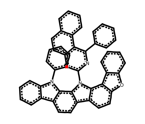 c1ccc(-c2nc(-n3c4c(ccc5oc6ccccc6c54)c4ccc5c6ccccc6n(-c6ccccc6)c5c43)nc3ccc4ccccc4c23)cc1